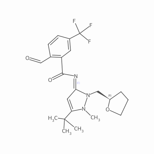 Cn1c(C(C)(C)C)c/c(=N\C(=O)c2cc(C(F)(F)F)ccc2C=O)n1C[C@H]1CCCO1